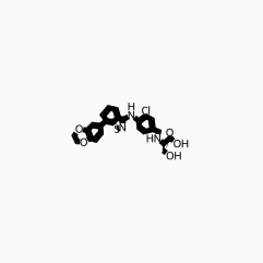 O=C(O)[C@@H](CO)NCc1ccc(Nc2nsc3c(-c4ccc5c(c4)OCCO5)cccc23)c(Cl)c1